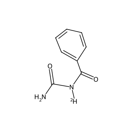 [2H]N(C(N)=O)C(=O)c1ccccc1